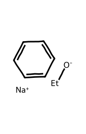 CC[O-].[Na+].c1ccccc1